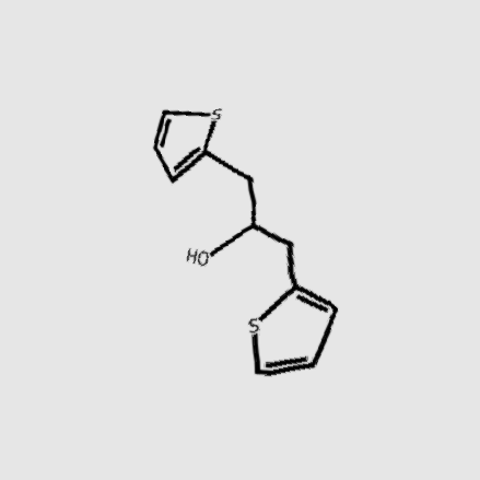 OC(Cc1cccs1)Cc1cccs1